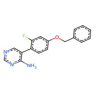 Nc1ncncc1-c1ccc(OCc2ccccc2)cc1F